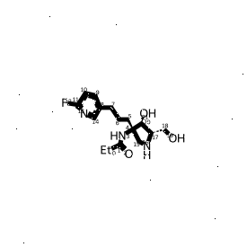 CCC(=O)N[C@@]1(CCCc2ccc(F)nc2)CN[C@@H](CO)[C@H]1O